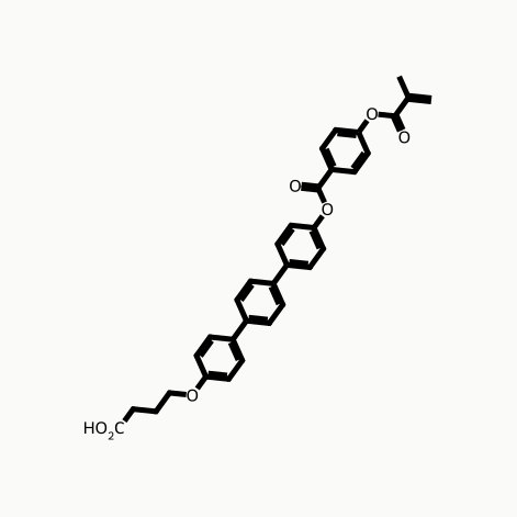 C=C(C)C(=O)Oc1ccc(C(=O)Oc2ccc(-c3ccc(-c4ccc(OCCCC(=O)O)cc4)cc3)cc2)cc1